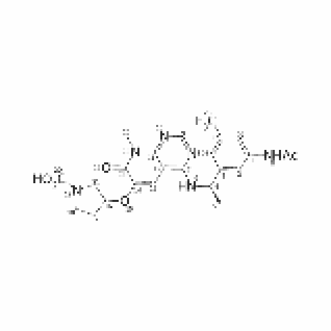 CC(=O)Nc1cc([C@@H](C)Nc2ncnc3c2cc(O[C@H]2CCN(C(=O)O)C2)c(=O)n3C)cc(C(F)(F)F)c1